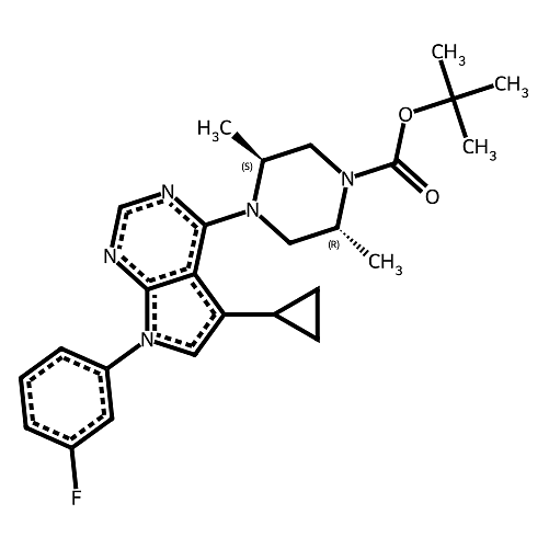 C[C@@H]1CN(c2ncnc3c2c(C2CC2)cn3-c2cccc(F)c2)[C@@H](C)CN1C(=O)OC(C)(C)C